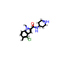 Cc1ccc2c(cc(C(=O)NC3CCNCC3)n2C)c1Cl